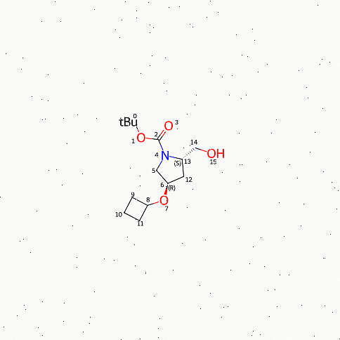 CC(C)(C)OC(=O)N1C[C@H](OC2CCC2)C[C@H]1CO